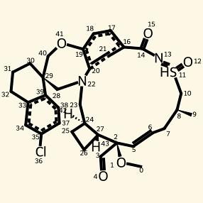 CO[C@]1(C=O)/C=C/C[C@H](C)C/[SH](=O)=N\C(=O)c2ccc3c(c2)N(C[C@@H]2CC[C@H]21)C[C@@]1(CCCc2cc(Cl)ccc21)CO3